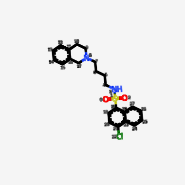 O=S(=O)(NCCCCN1CCc2ccccc2C1)c1ccc(Cl)c2ccccc12